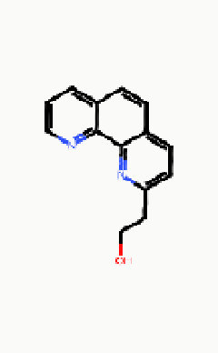 OCCc1ccc2ccc3cccnc3c2n1